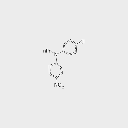 CCCN(c1ccc(Cl)cc1)c1ccc([N+](=O)[O-])cc1